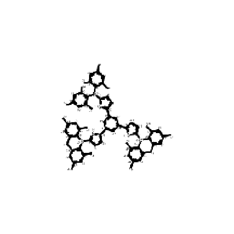 Cc1cc(C)c(B(c2ccc(-c3cc(-c4ccc(B5c6c(C)cc(C)cc6Cc6cc(C)cc(C)c65)s4)cc(-c4ccc(B5c6c(C)cc(C)cc6Cc6cc(C)cc(C)c65)s4)c3)s2)c2c(C)cc(C)cc2C)c(C)c1